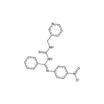 O=[N+]([O-])c1ccc(N=C(NC(=S)NCc2cccnc2)c2ccccc2)cc1